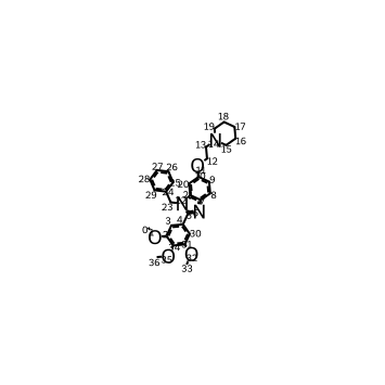 COc1cc(-c2nc3ccc(OCCN4CCCCC4)cc3n2Cc2ccccc2)cc(OC)c1OC